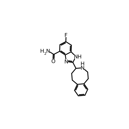 NC(=O)c1cc(F)cc2[nH]c(C3CCc4ccccc4CCN3)nc12